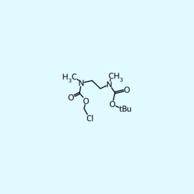 CN(CCN(C)C(=O)OC(C)(C)C)C(=O)OCCl